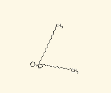 CCCCCCCCCCCCCCCCCCc1n(-c2ccccc2)cc[n+]1CCCCCCCCCCCCCC